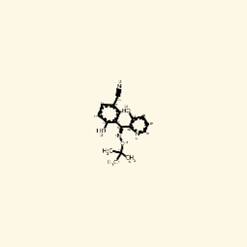 CC(C)(C)O/N=C(/c1cc(C#N)ccc1O)c1ncccc1O